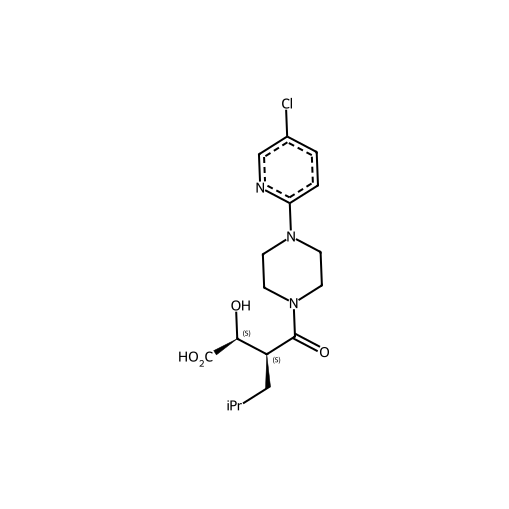 CC(C)C[C@H](C(=O)N1CCN(c2ccc(Cl)cn2)CC1)[C@H](O)C(=O)O